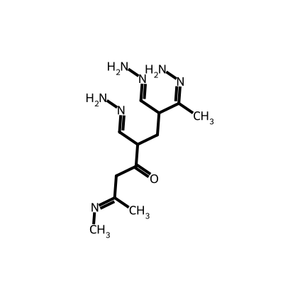 C/N=C(\C)CC(=O)C(/C=N/N)CC(/C=N/N)/C(C)=N\N